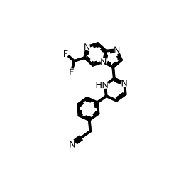 N#CCc1cccc(C2C=CN=C(c3cnc4cnc(C(F)F)cn34)N2)c1